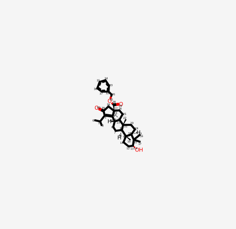 CC(C)C1=C2[C@H]3CC[C@@H]4[C@@]5(C)CC[C@H](O)C(C)(C)[C@@H]5CC[C@@]4(C)[C@]3(C)CC[C@@]2(C(=O)OCc2ccccc2)CC1=O